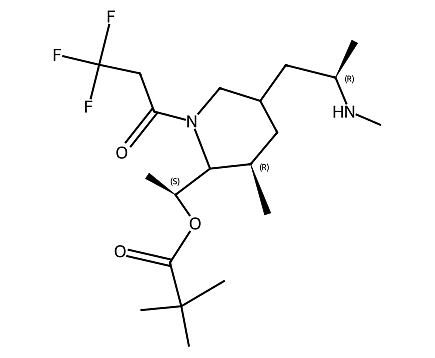 CN[C@H](C)CC1C[C@@H](C)C([C@H](C)OC(=O)C(C)(C)C)N(C(=O)CC(F)(F)F)C1